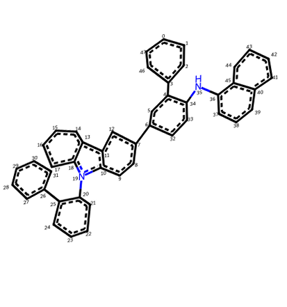 c1ccc(-c2cc(-c3ccc4c(c3)c3ccccc3n4-c3ccccc3-c3ccccc3)ccc2Nc2cccc3ccccc23)cc1